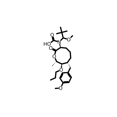 CCCO[C@@H]1[C@@H](Cc2ccc(OC)cc2)CCC[C@H](N(C(=O)O)C(OC)C(C)(C)C)C(=O)O[C@H]1C